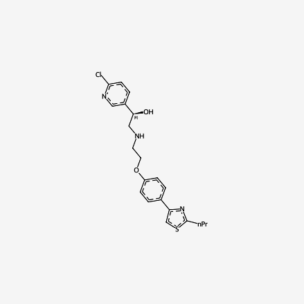 CCCc1nc(-c2ccc(OCCNC[C@H](O)c3ccc(Cl)nc3)cc2)cs1